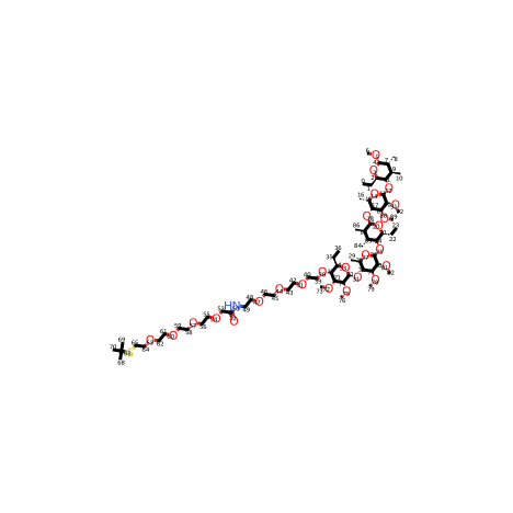 CC[C@H]1O[C@H](OC)[C@H](C)[C@@H](C)[C@@H]1O[C@@H]1O[C@@H](C)[C@@H](O[C@H]2O[C@H](CC)[C@@H](O[C@@H]3O[C@H](C)[C@@H](O[C@H]4O[C@H](CC)[C@@H](OCCOCCOCCOCCNC(=O)COCCOCCOCCOCCSC(C)(C)C)[C@H](OC)[C@H]4OC)[C@H](OC)[C@H]3OC)[C@H](C)[C@H]2C)[C@H](OC)[C@H]1OC